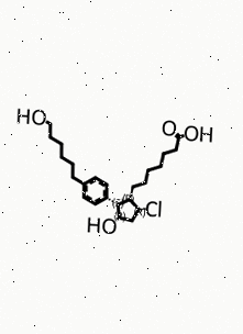 O=C(O)CCCCCC[C@@H]1[C@@H](c2ccc(CCCCCCO)cc2)[C@H](O)C[C@H]1Cl